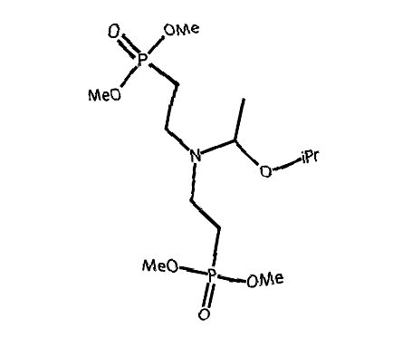 COP(=O)(CCN(CCP(=O)(OC)OC)C(C)OC(C)C)OC